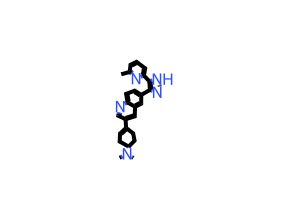 Cc1cccc(-c2[nH]cnc2-c2ccc3ncc(C4=CCC(N(C)C)CC4)cc3c2)n1